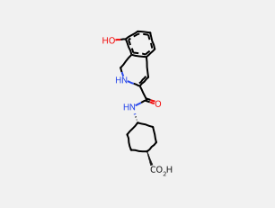 O=C(N[C@H]1CC[C@H](C(=O)O)CC1)C1=Cc2cccc(O)c2CN1